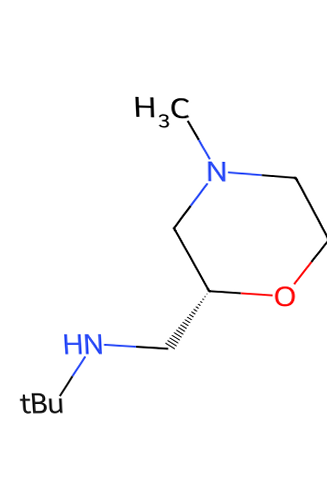 CN1CCO[C@H](CNC(C)(C)C)C1